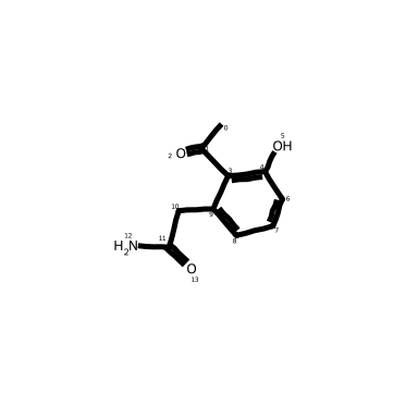 CC(=O)c1c(O)cccc1CC(N)=O